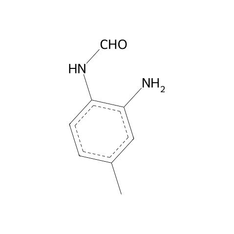 Cc1ccc(NC=O)c(N)c1